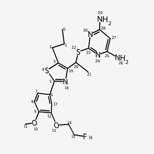 CCCc1sc(-c2ccc(OC)c(OCCF)c2)nc1C(C)Sc1nc(N)cc(N)n1